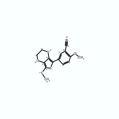 COc1ccc(-c2sc(SC)c3c2OCCO3)cc1C#N